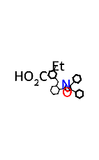 CCc1cc(CC2CCCCC2c2nc(-c3ccccc3)c(-c3ccccc3)o2)cc(C(=O)O)c1